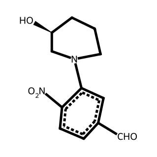 O=Cc1ccc([N+](=O)[O-])c(N2CCC[C@H](O)C2)c1